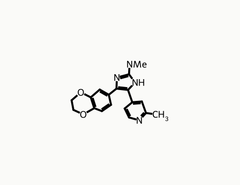 CNc1nc(-c2ccc3c(c2)OCCO3)c(-c2ccnc(C)c2)[nH]1